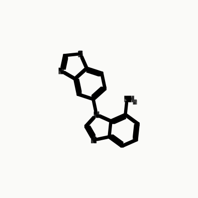 Nc1cccc2ncn(-c3ccc4scnc4c3)c12